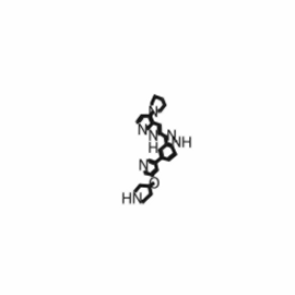 c1cc(N2CCCCC2)c2cc(-c3n[nH]c4ccc(-c5cncc(OC6CCNCC6)c5)cc34)[nH]c2n1